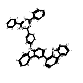 C1=C(C2N=C(c3ccccc3)N=C(c3ccccc3)N2)CCC(n2c3ccccc3c3cc(-c4cccc5c4oc4ccccc45)ccc32)=C1